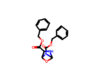 O=C(OCc1ccccc1)C1NC2OC1N2C(=O)OCc1ccccc1